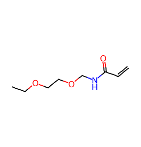 C=CC(=O)NCOCCOCC